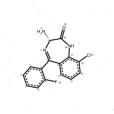 N[C@H]1N=C(c2ccccc2F)c2cccc(Cl)c2NC1=O